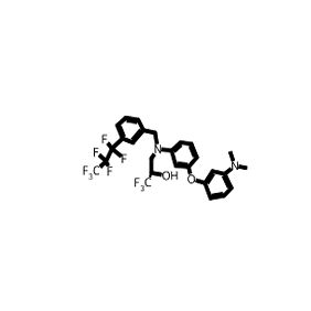 CN(C)c1cccc(Oc2cccc(N(Cc3cccc(C(F)(F)C(F)(F)C(F)(F)F)c3)C[C@@H](O)C(F)(F)F)c2)c1